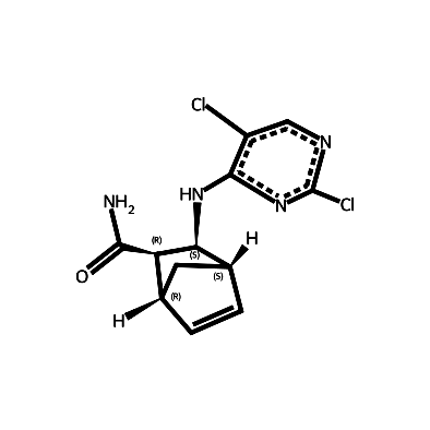 NC(=O)[C@H]1[C@@H](Nc2nc(Cl)ncc2Cl)[C@@H]2C=C[C@H]1C2